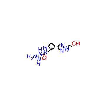 CN(CCO)c1ncc(-c2cccc(CNC(=O)NC(=N)N)c2)cn1